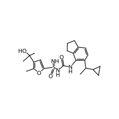 Cc1oc(S(=N)(=O)NC(=O)Nc2c(C(C)C3CC3)ccc3c2CCC3)cc1C(C)(C)O